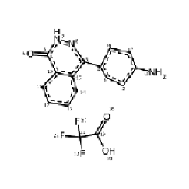 Nc1ccc(-c2n[nH]c(=O)c3ccccc23)cc1.O=C(O)C(F)(F)F